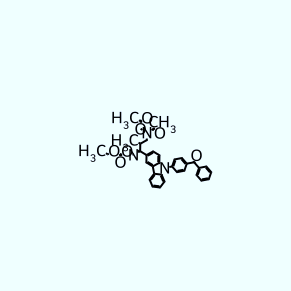 CCOC(=O)ON=C(c1ccc2c(c1)c1ccccc1n2-c1ccc(C(=O)c2ccccc2)cc1)C(C)CN(OC(C)=O)C(C)=O